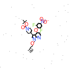 CC(C)(C)OC(=O)N1CC=C(c2cn(COCC[Si](C)(C)C)c3nccc(Oc4c(F)cc([N+](=O)[O-])cc4F)c23)CC1